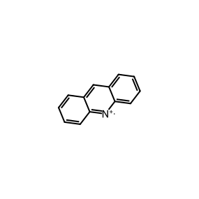 C1=c2ccccc2=[N+]c2ccccc21